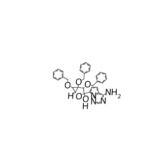 Nc1ncnn2c([C@]3(O)O[C@@H]4C(OCc5ccccc5)[C@]4(OCc4ccccc4)[C@H]3OCc3ccccc3)ccc12